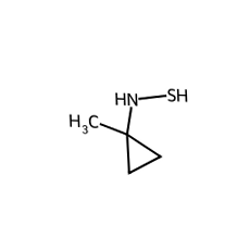 CC1(NS)CC1